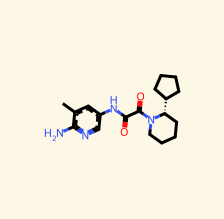 Cc1cc(NC(=O)C(=O)N2CCCC[C@H]2C2CCCC2)cnc1N